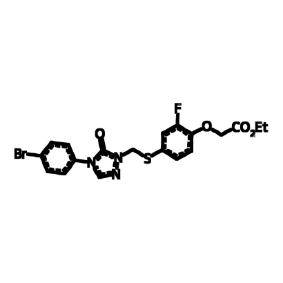 CCOC(=O)COc1ccc(SCn2ncn(-c3ccc(Br)cc3)c2=O)cc1F